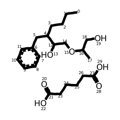 CCCCC(Cc1ccccc1)C(O)COC(C)CO.O=C(O)CCCCC(=O)O